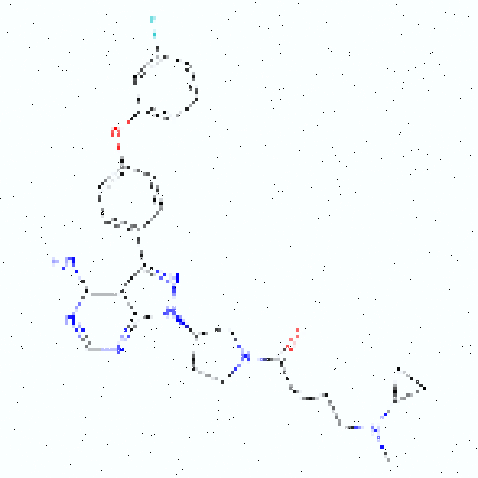 CN(CC=CC(=O)N1CC[C@@H](n2nc(-c3ccc(Oc4cccc(F)c4)cc3)c3c(N)ncnc32)C1)C1CC1